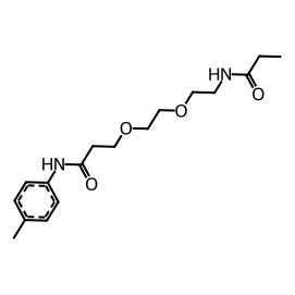 CCC(=O)NCCOCCOCCC(=O)Nc1ccc(C)cc1